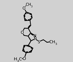 CCCSN1N=C2C(=Cc3ccc(OC)cc3)COCC2C1c1ccc(OC)cc1